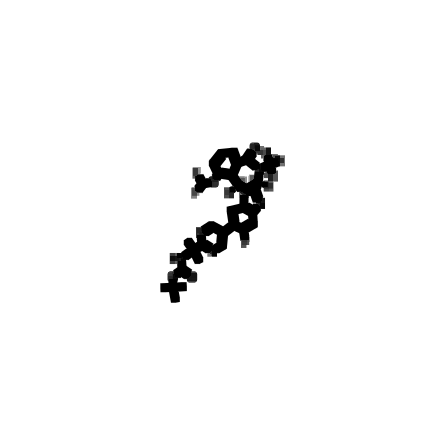 [2H]C([2H])([2H])N1C(=O)c2cccc(OC(F)F)c2[C@H]2C[C@@H]1c1nc3cc(F)c(-c4cnc(C(C)(C)NC(=O)OC(C)(C)C)nc4)cc3n12